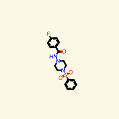 O=C(NN1CCN(S(=O)(=O)c2ccccc2)CC1)c1ccc(F)cc1